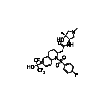 CN1C[C@@H](NC(=O)C[C@@H]2CCc3cc(C(O)(C(F)(F)F)C(F)(F)F)ccc3N2S(=O)(=O)c2ccc(F)cc2)[C@](C)(O)C1